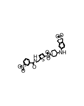 O=C(NCc1ccc(S(=O)(=O)N2CCC(Nc3ccc4c(c3)CS(=O)(=O)C4)CC2)s1)c1cccc([N+](=O)[O-])c1